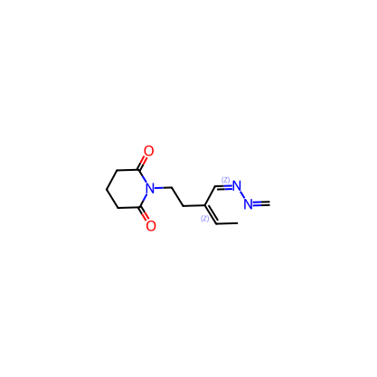 C=N/N=C\C(=C/C)CCN1C(=O)CCCC1=O